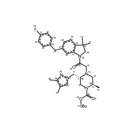 Cc1cn(C[C@H]2CN(C(=O)OC(C)(C)C)[C@H](C)CN2CC(=O)N2CC(C)(C)c3ncc(Cc4ccc(F)cc4)cc32)nc1C